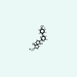 CN1CC[C@]2(CC[C@@H](c3nccc(-c4ccc(C(F)(F)F)cc4)n3)N2)C1=O